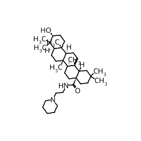 CC1(C)CC[C@]2(C(=O)NCCN3CCCCC3)CC[C@]3(C)C(=CC[C@@H]4[C@@]5(C)CC[C@H](O)C(C)(C)[C@@H]5CC[C@]43C)[C@@H]2C1